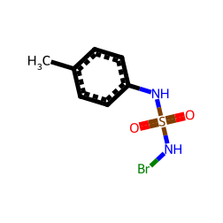 Cc1ccc(NS(=O)(=O)NBr)cc1